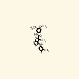 COc1ccc(NC(=O)c2sc3ncnc(Nc4ccc(F)c(C)c4)c3c2N)cc1OC